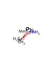 COc1cccc(Cc2sc(N)nc2COCCOCCOCCN(C)C)c1